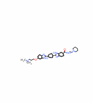 CN(C)CCCOc1ccc2nc(-c3ccc(-c4nc5ccc(C(=O)NCCN6CCCCC6)cc5[nH]4)cc3)[nH]c2c1